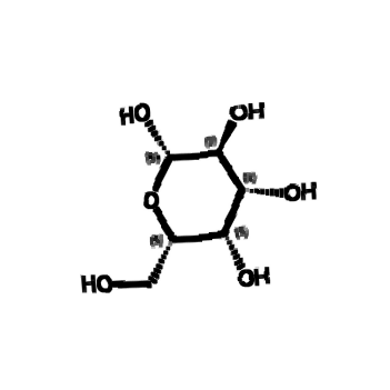 OC[C@@H]1O[C@H](O)[C@@H](O)[C@H](O)[C@@H]1O